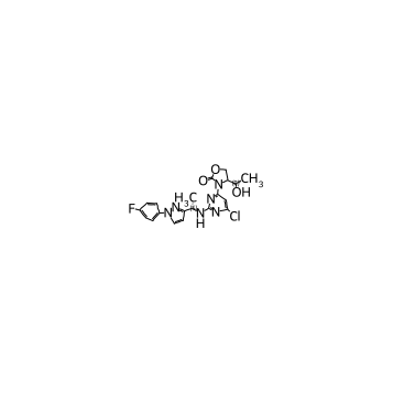 C[C@H](Nc1nc(Cl)cc(N2C(=O)OCC2[C@@H](C)O)n1)c1ccn(-c2ccc(F)cc2)n1